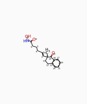 CC1(/C=C/CCCC(=O)NO)CCc2ccccc2C1=O